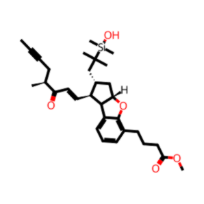 CC#CC[C@H](C)C(=O)/C=C/[C@@H]1C2c3cccc(CCCC(=O)OC)c3O[C@H]2C[C@H]1CC(C)(C)[Si](C)(C)O